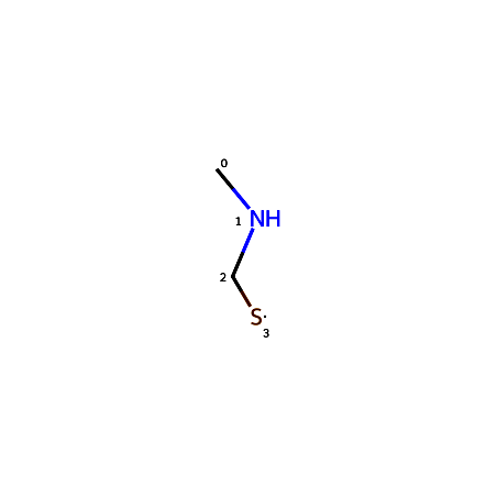 CNC[S]